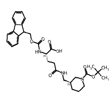 CC(C)(C)OC(=O)N1CCC[C@@H](CNC(=O)CC[C@H](NC(=O)OCC2c3ccccc3-c3ccccc32)C(=O)O)C1